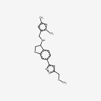 COCc1nc(-c2ccc3c(c2)OCC3NCc2cc(C)nn2C)no1